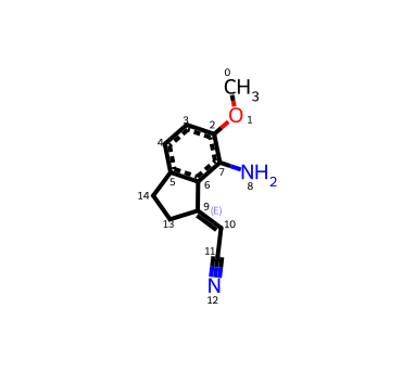 COc1ccc2c(c1N)/C(=C/C#N)CC2